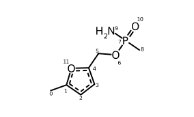 Cc1ccc(COP(C)(N)=O)o1